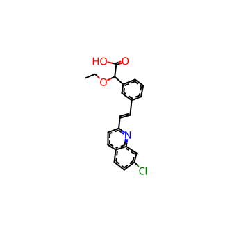 CCOC(C(=O)O)c1cccc(C=Cc2ccc3ccc(Cl)cc3n2)c1